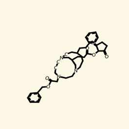 O=C(CN1CCCN2CCC(CCc3ccccc3)CCCN(CC1)CC(CCC(=O)OC1C(=O)CCC1=O)C2)OCc1ccccc1